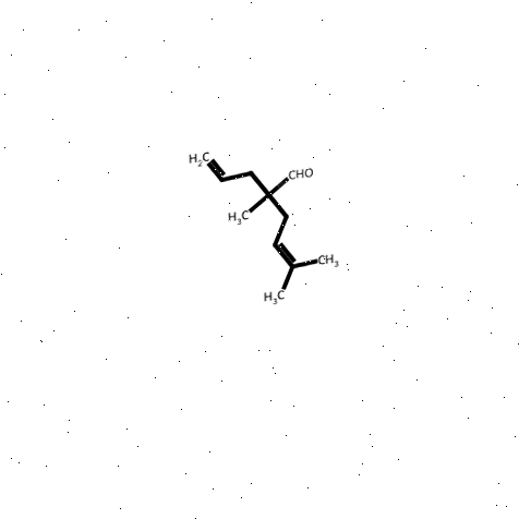 C=CCC(C)(C=O)CC=C(C)C